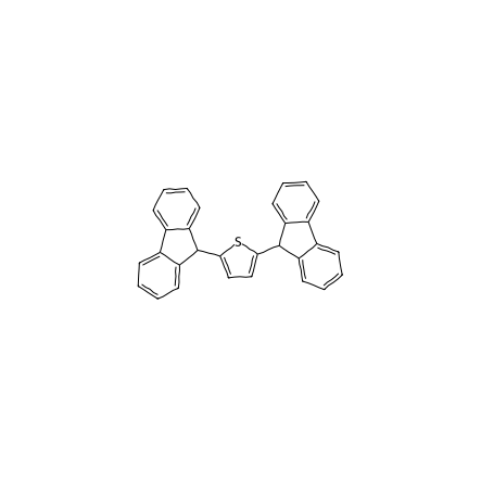 c1ccc2c(c1)-c1ccccc1C2c1ccc(C2c3ccccc3-c3ccccc32)s1